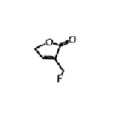 O=C1OCC=C1CF